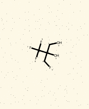 OCC(O)(CF)C(F)(F)F